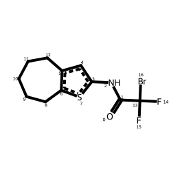 O=C(Nc1cc2c(s1)CCCCC2)C(F)(F)Br